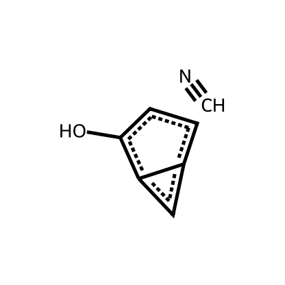 C#N.Oc1ccc2cc1-2